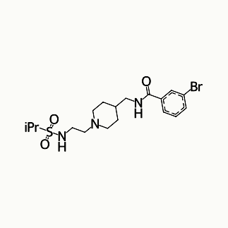 CC(C)S(=O)(=O)NCCN1CCC(CNC(=O)c2cccc(Br)c2)CC1